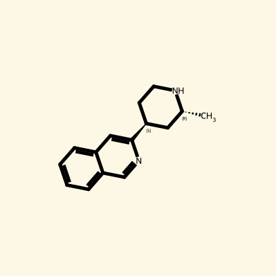 C[C@@H]1C[C@@H](c2cc3ccccc3cn2)CCN1